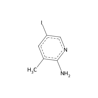 Cc1cc(I)cnc1N